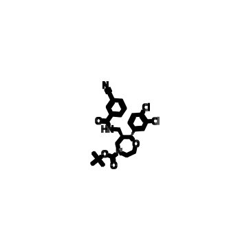 CC(C)(C)OC(=O)N1CCO[C@@H](c2ccc(Cl)c(Cl)c2)[C@H](CNC(=O)c2cccc(C#N)c2)C1